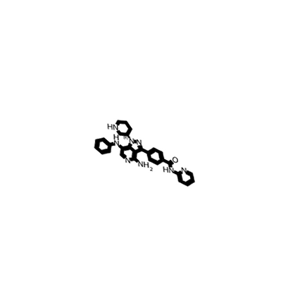 Nc1ncc(Nc2ccccc2)c2c1c(-c1ccc(C(=O)Nc3ccccn3)cc1)nn2[C@@H]1CCCNC1